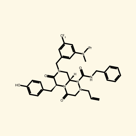 C=CCN1CC(=O)N2[C@@H](Cc3ccc(O)cc3)C(=O)N(Cc3cc(N(C)C(C)C)cc(C(F)(F)F)c3)C[C@@H]2N1C(=O)NCc1ccccc1